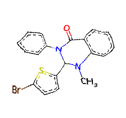 CN1c2ccccc2C(=O)N(c2ccccc2)C1c1ccc(Br)s1